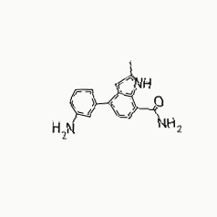 Cc1cc2c(-c3cccc(N)c3)ccc(C(N)=O)c2[nH]1